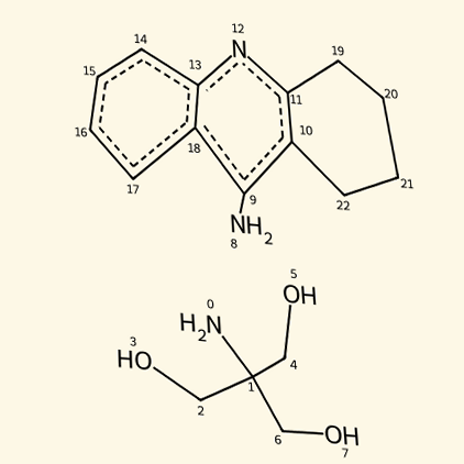 NC(CO)(CO)CO.Nc1c2c(nc3ccccc13)CCCC2